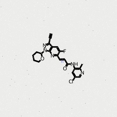 C#Cc1nn(C2CCCCO2)c2nc(/C=C/C(=O)Nc3cc(Cl)cnc3C)c(F)cc12